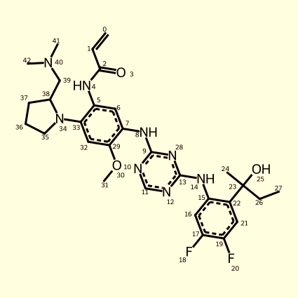 C=CC(=O)Nc1cc(Nc2ncnc(Nc3cc(F)c(F)cc3C(C)(O)CC)n2)c(OC)cc1N1CCCC1CN(C)C